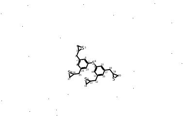 c1c(CC2CS2)cc(Sc2cc(CC3CS3)cc(CC3CS3)c2)cc1CC1CS1